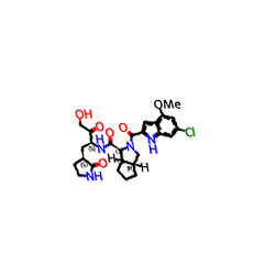 COc1cc(Cl)cc2[nH]c(C(=O)N3C[C@@H]4CCC[C@@H]4[C@H]3C(=O)N[C@@H](C[C@@H]3CCNC3=O)C(=O)CO)cc12